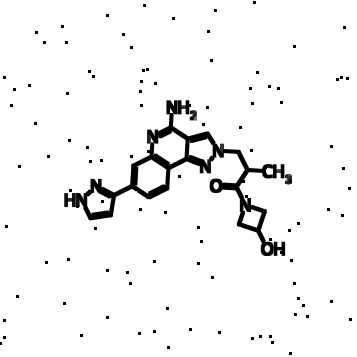 CC(Cn1cc2c(N)nc3cc(-c4cc[nH]n4)ccc3c2n1)C(=O)N1CC(O)C1